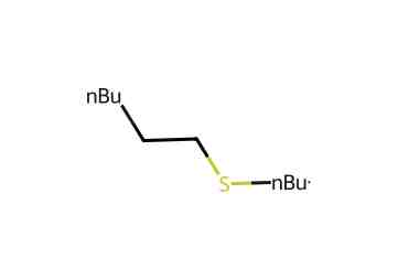 CCC[CH]SCCCCCC